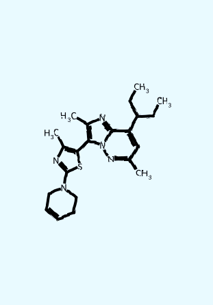 CCC(CC)c1cc(C)nn2c(-c3sc(N4CC=CCC4)nc3C)c(C)nc12